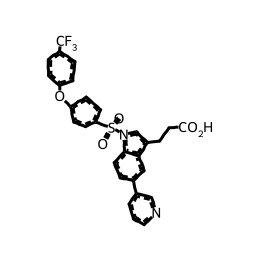 O=C(O)CCc1cn(S(=O)(=O)c2ccc(Oc3ccc(C(F)(F)F)cc3)cc2)c2ccc(-c3cccnc3)cc12